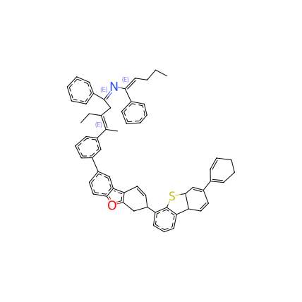 CCC/C=C(/N=C(\C/C(CC)=C(\C)c1cccc(-c2ccc3oc4c(c3c2)C=CC(c2cccc3c2SC2C=C(C5=CCCC=C5)C=CC32)C4)c1)c1ccccc1)c1ccccc1